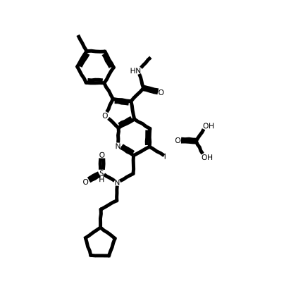 CNC(=O)c1c(-c2ccc(C)cc2)oc2nc(CN(CCC3CCCC3)[SH](=O)=O)c(I)cc12.O=C(O)O